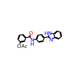 CC(=O)Oc1cccc(C(=O)Nc2ccc(-c3nc4ccccc4[nH]3)cc2)c1